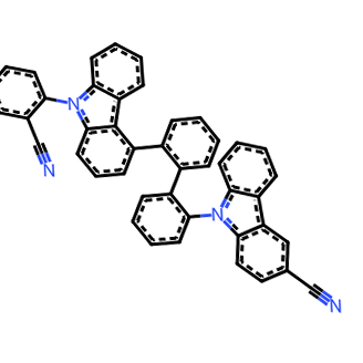 N#Cc1ccc2c(c1)c1ccccc1n2-c1ccccc1-c1ccccc1-c1cccc2c1c1ccccc1n2-c1ccccc1C#N